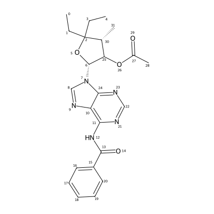 CCC1(CC)O[C@@H](n2cnc3c(NC(=O)c4ccccc4)ncnc32)C(OC(C)=O)[C@H]1C